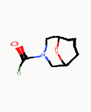 O=C(Cl)N1CC2CCC(C1)O2